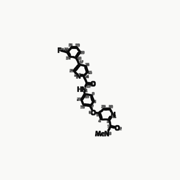 CNC(=O)c1cc(Oc2ccc(NC(=O)c3ccc(-c4cccc(F)c4)cn3)cc2)ccn1